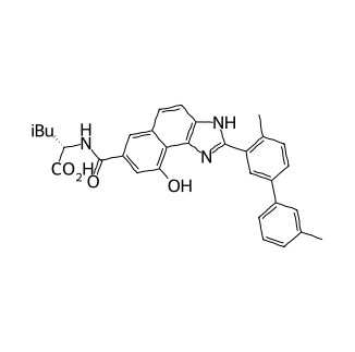 CCC(C)[C@H](NC(=O)c1cc(O)c2c(ccc3[nH]c(-c4cc(-c5cccc(C)c5)ccc4C)nc32)c1)C(=O)O